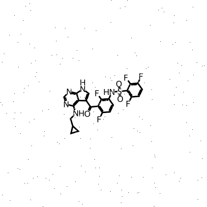 O=C(c1c(F)ccc(NS(=O)(=O)c2c(F)ccc(F)c2F)c1F)c1c[nH]c2ncnc(NCC3CC3)c12